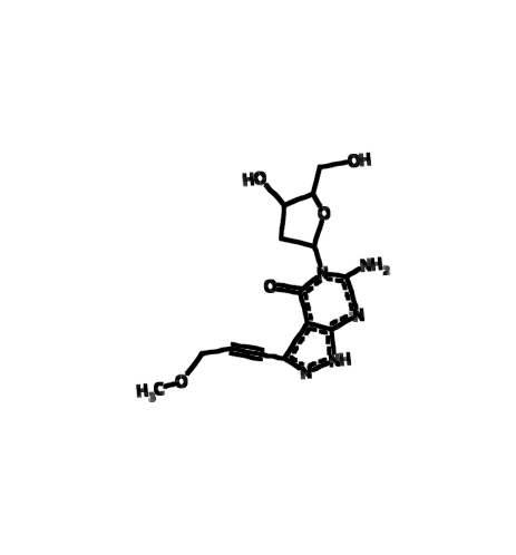 COCC#Cc1n[nH]c2nc(N)n(C3CC(O)C(CO)O3)c(=O)c12